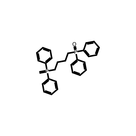 C=P(CCCCP(=O)(c1ccccc1)c1ccccc1)(c1ccccc1)c1ccccc1